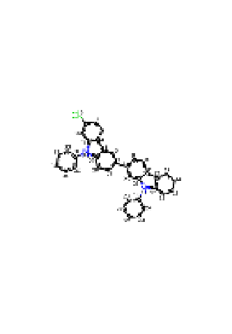 Clc1ccc2c3cc(-c4ccc5c6ccccc6n(-c6ccccc6)c5c4)ccc3n(-c3ccccc3)c2c1